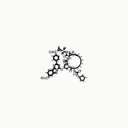 COc1ccc(-c2cc(O[C@@H]3C[C@H]4C(=O)N[C@]5(C(=O)NS(=O)(=O)C6CC6)C[C@H]5/C=C\CCCCC[C@H](NC(=O)OC5CCCC5)C(=O)N4C3)n3nc4cc(OC)ccc4c3n2)cc1